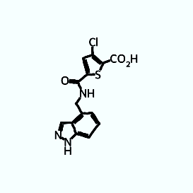 O=C(NCc1cccc2[nH]ncc12)c1cc(Cl)c(C(=O)O)s1